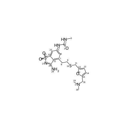 CNC(=O)Nc1cc(CCSCc2ccc(CN(C)C)o2)c2c(c1)S(=O)(=O)N=C2N